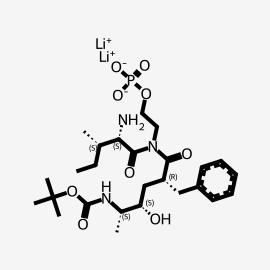 CC[C@H](C)[C@H](N)C(=O)N(CCOP(=O)([O-])[O-])C(=O)[C@H](Cc1ccccc1)C[C@H](O)[C@H](C)NC(=O)OC(C)(C)C.[Li+].[Li+]